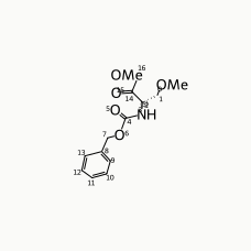 COC[C@H](NC(=O)OCc1ccccc1)C(=O)OC